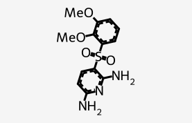 COc1cccc(S(=O)(=O)c2ccc(N)nc2N)c1OC